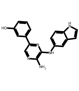 Nc1ncc(-c2cccc(O)c2)nc1Nc1ccc2[nH]ccc2c1